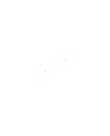 CN1CC2(C1)CN(c1ccccc1F)C2